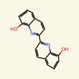 Oc1cccc2ccc(-c3ccc4cccc(O)c4n3)nc12